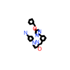 N#Cc1ccc(-n2ccc(=O)c(Cc3cccc(-c4ncc(OCc5ccccc5)cn4)c3)n2)cc1